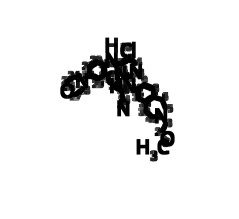 COCCN1CCc2ccc(Nc3ncc(Cl)c(Nc4ccc(N5CCOCC5)cc4OCCC#N)n3)cc2CC1